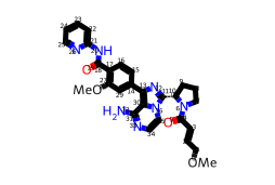 COCC=CC(=O)N1CCC[C@H]1c1nc(-c2ccc(C(=O)Nc3ccccn3)c(OC)c2)c2c(N)nccn12